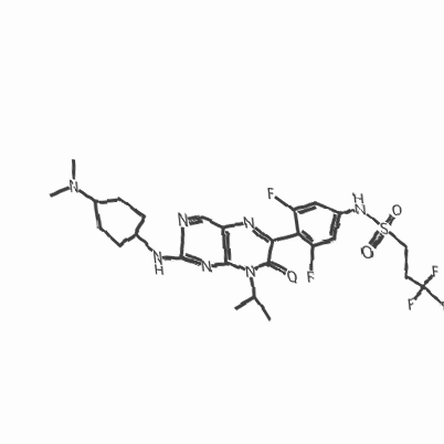 CC(C)n1c(=O)c(-c2c(F)cc(NS(=O)(=O)CCC(F)(F)F)cc2F)nc2cnc(NC3CCC(N(C)C)CC3)nc21